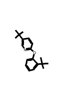 CC(C)(C)c1ccc(Oc2ccccc2C(C)(C)C)nc1